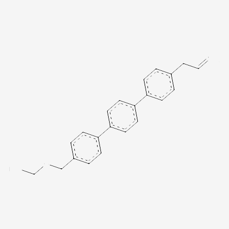 C=CCc1ccc(-c2ccc(-c3ccc(COCC)cc3)cc2)cc1